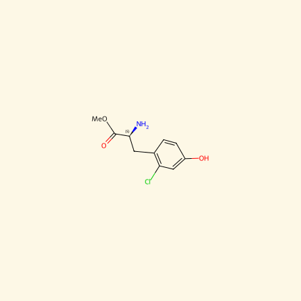 COC(=O)[C@@H](N)Cc1ccc(O)cc1Cl